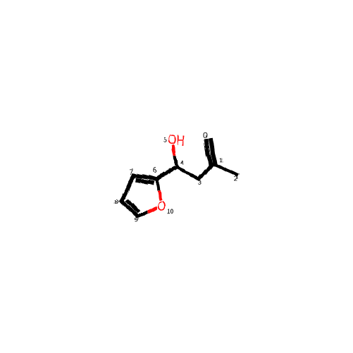 C=C(C)CC(O)c1ccco1